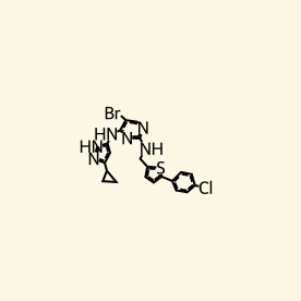 Clc1ccc(-c2ccc(CNc3ncc(Br)c(Nc4cc(C5CC5)n[nH]4)n3)s2)cc1